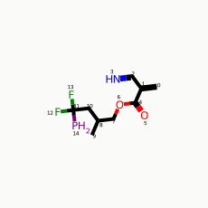 C=C(C=N)C(=O)OCC(C)CC(F)(F)P